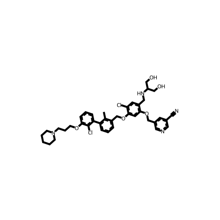 Cc1c(COc2cc(OCc3cncc(C#N)c3)c(CNC(CO)CO)cc2Cl)cccc1-c1cccc(OCCCN2CCCCC2)c1Cl